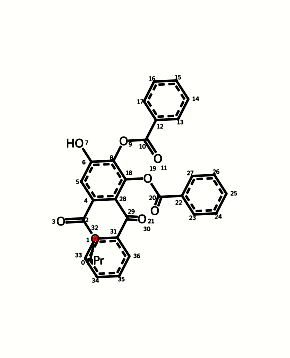 CCCOC(=O)c1cc(O)c(OC(=O)c2ccccc2)c(OC(=O)c2ccccc2)c1C(=O)c1ccccc1